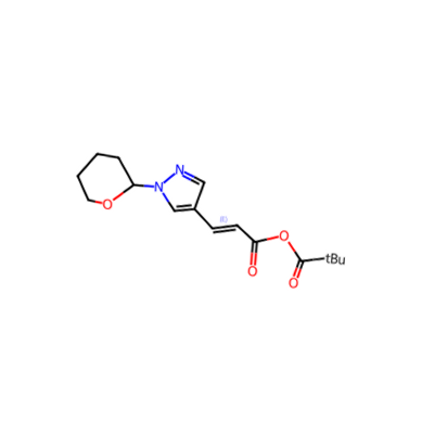 CC(C)(C)C(=O)OC(=O)/C=C/c1cnn(C2CCCCO2)c1